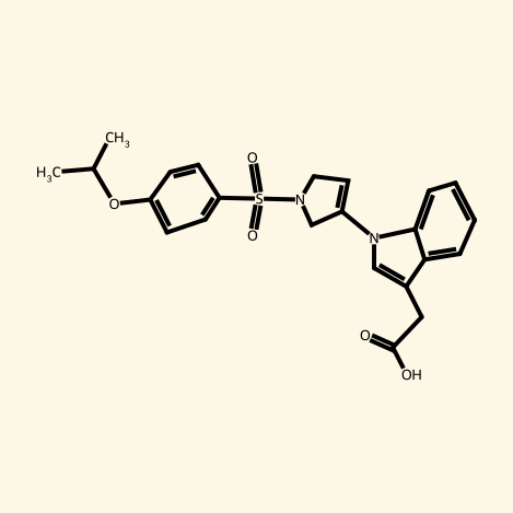 CC(C)Oc1ccc(S(=O)(=O)N2CC=C(n3cc(CC(=O)O)c4ccccc43)C2)cc1